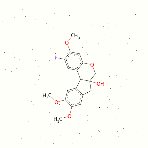 COc1cc2c(cc1I)C1c3cc(OC)c(OC)cc3CC1(O)CO2